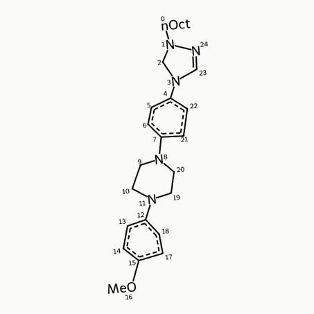 CCCCCCCCN1CN(c2ccc(N3CCN(c4ccc(OC)cc4)CC3)cc2)C=N1